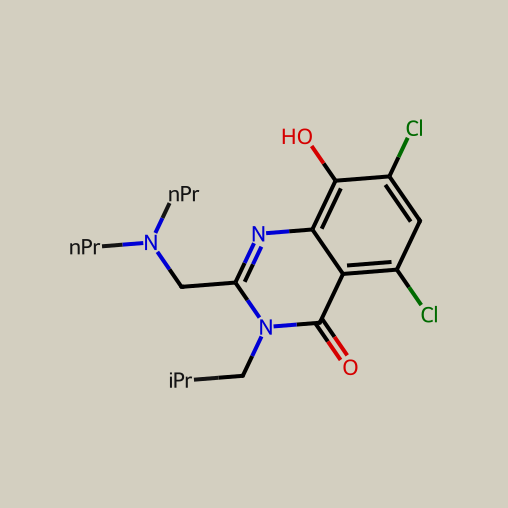 CCCN(CCC)Cc1nc2c(O)c(Cl)cc(Cl)c2c(=O)n1CC(C)C